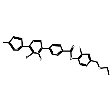 CCOCc1ccc(OC(=O)c2ccc(-c3ccc(-c4ccc(C)cc4)c(F)c3F)cc2)c(F)c1